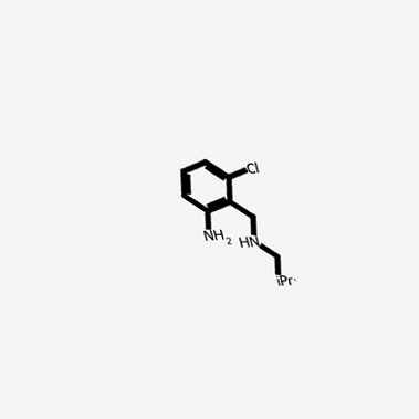 C[C](C)CNCc1c(N)cccc1Cl